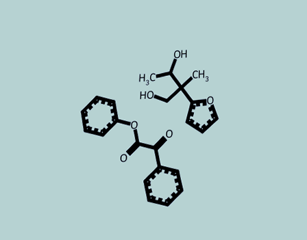 CC(O)C(C)(CO)c1ccco1.O=C(Oc1ccccc1)C(=O)c1ccccc1